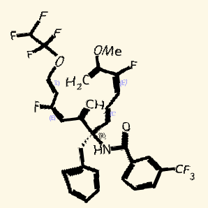 C=C(OC)/C(F)=C\C=C\[C@@](Cc1ccccc1)(NC(=O)c1cccc(C(F)(F)F)c1)C(=C)/C=C(F)\C=C\OC(F)(F)C(F)F